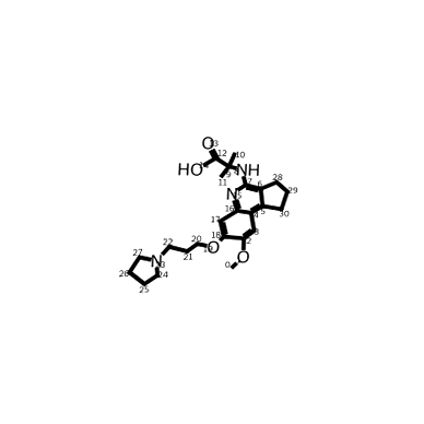 COc1cc2c3c(c(NC(C)(C)C(=O)O)nc2cc1OCCCN1CCCC1)CCC3